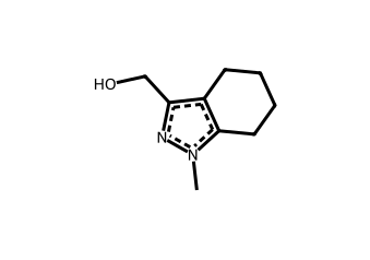 Cn1nc(CO)c2c1CCCC2